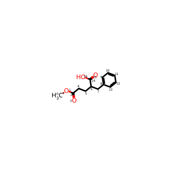 COC(=O)CCC(Cc1ccccc1)C(=O)O